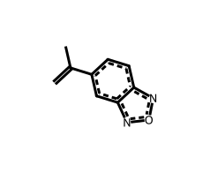 C=C(C)c1ccc2nonc2c1